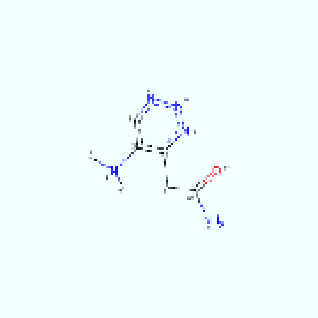 CN(C)c1cnnnc1CC(N)=O